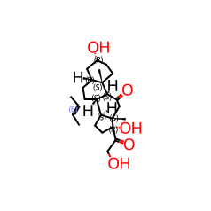 C/C=C/C.C[C@]12CC[C@@H](O)C[C@H]1CC[C@@H]1[C@@H]2C(=O)C[C@@]2(C)[C@H]1CC[C@]2(O)C(=O)CO